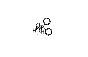 C[PH](Cl)(c1ccccc1)c1ccccc1.[Pd]